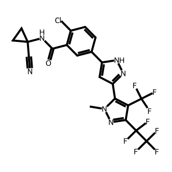 Cn1nc(C(F)(F)C(F)(F)F)c(C(F)(F)F)c1-c1cc(-c2ccc(Cl)c(C(=O)NC3(C#N)CC3)c2)[nH]n1